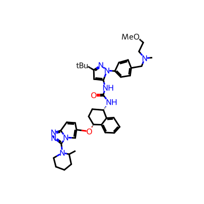 COCCN(C)Cc1ccc(-n2nc(C(C)(C)C)cc2NC(=O)N[C@H]2CC[C@@H](Oc3ccc4nnc(N5CCCCC5C)n4c3)c3ccccc32)cc1